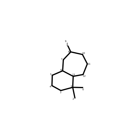 CC1(C)CCCC2CC(I)CCCC21